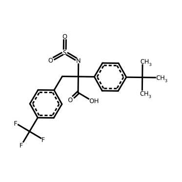 CC(C)(C)c1ccc(C(Cc2ccc(C(F)(F)F)cc2)(N=S(=O)=O)C(=O)O)cc1